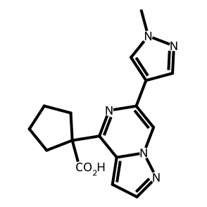 Cn1cc(-c2cn3nccc3c(C3(C(=O)O)CCCC3)n2)cn1